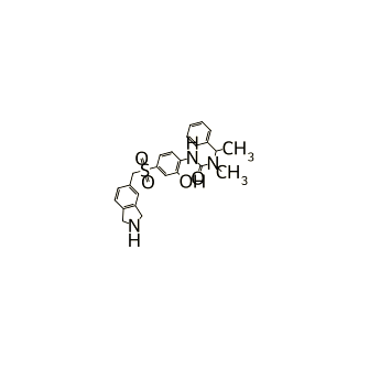 CC(c1ccccc1)N(C)C(=O)Nc1ccc(S(=O)(=O)Cc2ccc3c(c2)CNC3)cc1O